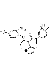 CCC(Oc1ccc(N)cc1N)C(C(=O)Nc1ccc(C)c(O)c1)C1=[N+]C=CN1